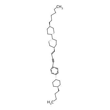 CCCCCC[C@H]1CC[C@H]([C@H]2CC[C@H](C=CC#Cc3ccc([C@H]4CC[C@H](CCCC)CC4)cc3)CC2)CC1